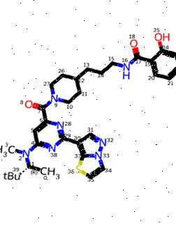 C[C@@H](N(C)c1cc(C(=O)N2CCC(CCCNC(=O)c3ccccc3O)CC2)nc(-c2cnn3ccsc23)n1)C(C)(C)C